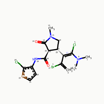 C=C(Br)/C(=C(/Cl)N(C)C)[C@H]1CN(C)C(=O)[C@@H]1C(=O)Nc1ccsc1Cl